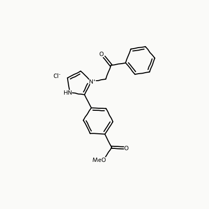 COC(=O)c1ccc(-c2[nH]cc[n+]2CC(=O)c2ccccc2)cc1.[Cl-]